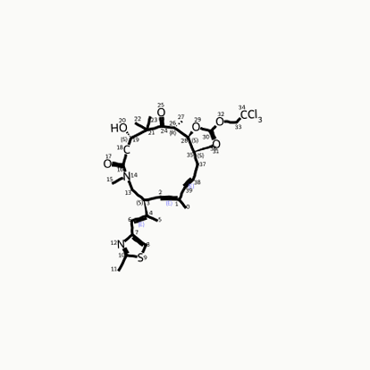 CC1=C\[C@@H](/C(C)=C/c2csc(C)n2)CN(C)C(=O)C[C@H](O)C(C)(C)C(=O)[C@H](C)[C@@H](OC(=O)OCC(Cl)(Cl)Cl)[C@@H](C)C\C=C\1